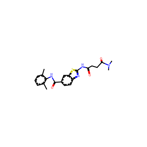 Cc1cccc(C)c1NC(=O)c1ccc2nc(NC(=O)CCC(=O)N(C)C)sc2c1